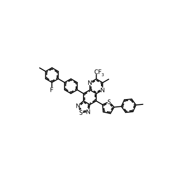 Cc1ccc(-c2ccc(-c3c4nsnc4c(-c4ccc(-c5ccc(C)cc5F)cc4)c4nc(C(F)(F)F)c(C)nc34)s2)cc1